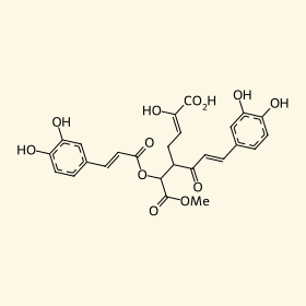 COC(=O)C(OC(=O)C=Cc1ccc(O)c(O)c1)C(CC=C(O)C(=O)O)C(=O)C=Cc1ccc(O)c(O)c1